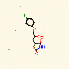 O=C1NC(=O)C(CC(O)COc2ccc(F)cc2)S1